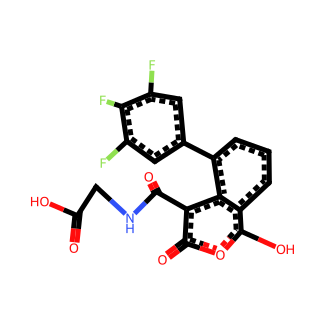 O=C(O)CNC(=O)c1c(=O)oc(O)c2cccc(-c3cc(F)c(F)c(F)c3)c12